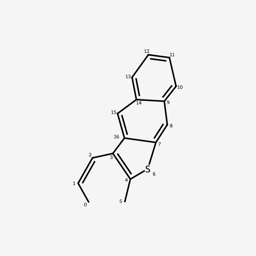 C/C=C\c1c(C)sc2cc3ccccc3cc12